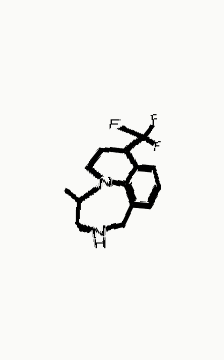 CC1CNCc2cccc3c2N1CCC3C(F)(F)F